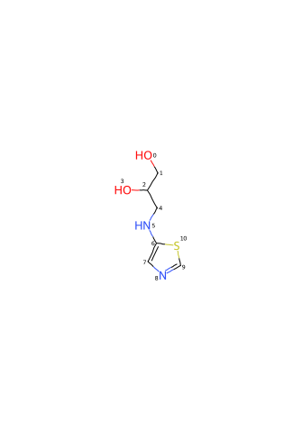 OCC(O)CNc1cncs1